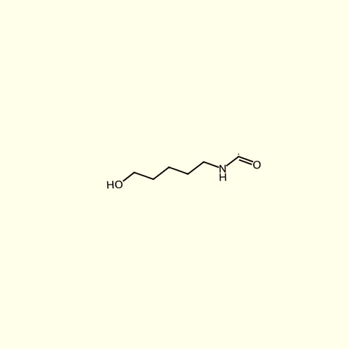 O=[C]NCCCCCO